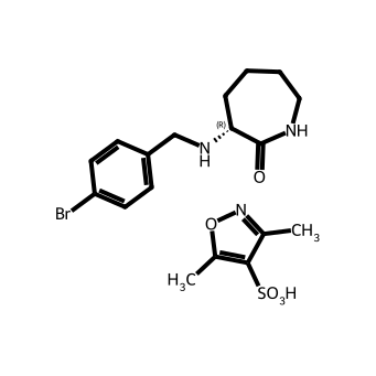 Cc1noc(C)c1S(=O)(=O)O.O=C1NCCCC[C@H]1NCc1ccc(Br)cc1